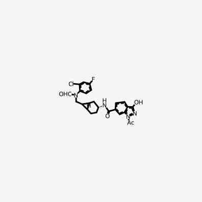 CC(=O)n1nc(O)c2ccc(C(=O)N[C@@H]3CC[C@H]4C(C3)C4CN(C=O)c3ccc(F)cc3Cl)cc21